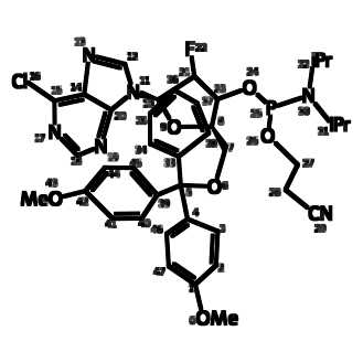 COc1ccc(C(OC[C@H]2O[C@@H](n3cnc4c(Cl)ncnc43)C(F)C2OP(OCCC#N)N(C(C)C)C(C)C)(c2ccccc2)c2ccc(OC)cc2)cc1